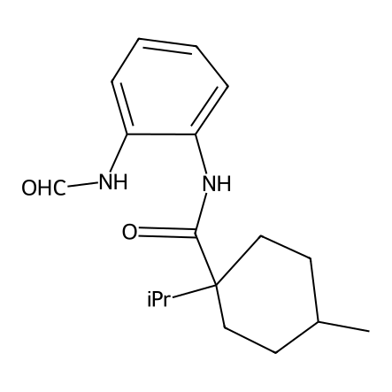 CC1CCC(C(=O)Nc2ccccc2NC=O)(C(C)C)CC1